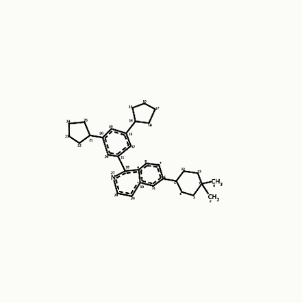 CC1(C)CCC(c2ccc3c(-c4cc(C5CCCC5)cc(C5CCCC5)c4)nccc3c2)CC1